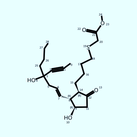 CC#CC(O)(CC=C[C@H]1[C@H](O)CC(=O)[C@@H]1CCCCSCC(=O)OC)CCCC